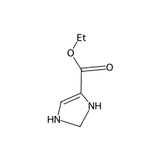 CCOC(=O)C1=CNCN1